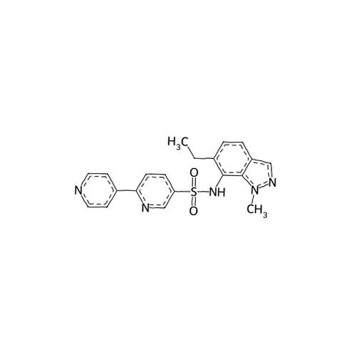 CCc1ccc2cnn(C)c2c1NS(=O)(=O)c1ccc(-c2ccncc2)nc1